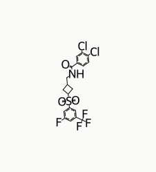 O=C(NCC1CC(S(=O)(=O)c2cc(F)cc(C(F)(F)F)c2)C1)c1ccc(Cl)c(Cl)c1